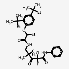 CCC(Oc1ccc(C(C)(C)CC)cc1C(C)(C)CC)C(=O)NCC(C)(C)C(=O)C(F)(Cl)C(=O)Nc1ccccc1